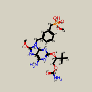 COc1nc2c(N)nc(OC(COC(N)=O)C(C)(C)C)nc2n1Cc1cccc(CP(=O)(O)OC)c1